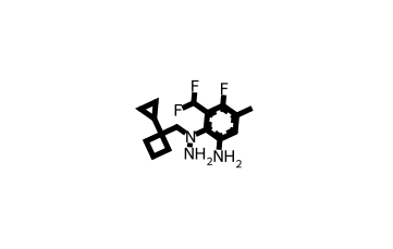 Cc1cc(N)c(N(N)CC2(C3CC3)CCC2)c(C(F)F)c1F